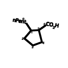 CCCCCC1CCCC1C(=O)O